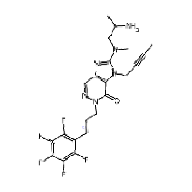 CC#CCn1c(N(C)CC(C)N)nc2cnn(C/C=C/c3c(F)c(F)c(F)c(F)c3F)c(=O)c21